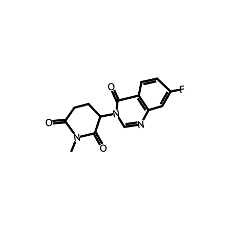 CN1C(=O)CCC(n2cnc3cc(F)ccc3c2=O)C1=O